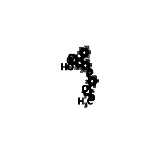 COC1CCOC(c2cccc(COc3ccc4c(-c5ccccc5)c(C=O)c(C(=O)O)cc4c3)c2)C1